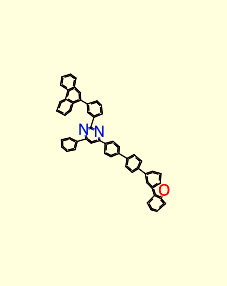 c1ccc(-c2cc(-c3ccc(-c4ccc(-c5ccc6oc7ccccc7c6c5)cc4)cc3)nc(-c3cccc(-c4cc5ccccc5c5ccccc45)c3)n2)cc1